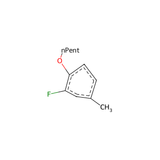 CCCCCOc1ccc(C)cc1F